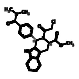 COC(=O)[C@H]1Cc2c([nH]c3ccccc23)[C@H](c2ccc(C(=O)N(C)C)cc2)N1C(=O)CCl